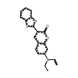 C=CN(CC)c1ccc2cc(-c3nc4ccccc4s3)c(=O)oc2c1